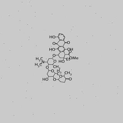 CCC1(O)CC(OC2CC(N(C)C)C(OC3CC(O)C(OC4CCC(=O)C(C)O4)C(C)O3)C(C)O2)c2c(O)c3c(c(O)c2C1C(=O)OC)C(=O)c1cccc(O)c1C3=O